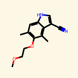 COCCOc1c(C)cc2[nH]cc(C#N)c2c1C